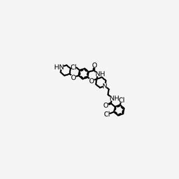 O=C1NC2(CCN(CCNC(=O)c3c(Cl)cccc3Cl)CC2)Oc2cc(OC3CCNCC3)c(Cl)cc21